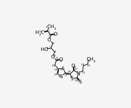 C=C(C)C(=O)OCC(O)COC(=O)CC1=CS/C(=C2\SC(=S)N(CCCC)C2=O)S1